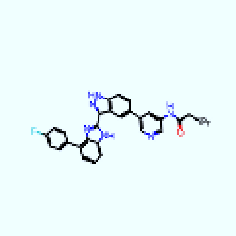 CC(C)CC(=O)Nc1cncc(-c2ccc3[nH]nc(-c4nc5c(-c6ccc(F)cc6)cccc5[nH]4)c3c2)c1